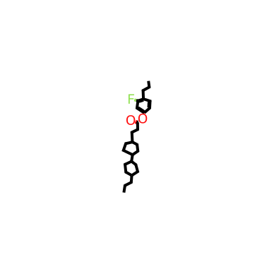 CCCc1ccc(OC(=O)CCC2CCC(C3CCC(CCC)CC3)CC2)cc1F